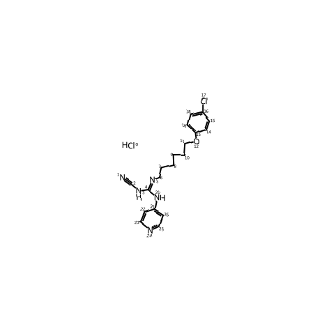 Cl.N#CN/C(=N/CCCCCCOc1ccc(Cl)cc1)Nc1ccncc1